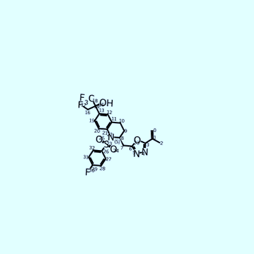 C=C(C)c1nnc(C[C@@H]2CCc3cc(C(O)(CF)C(F)(F)F)ccc3N2S(=O)(=O)c2ccc(F)cc2)o1